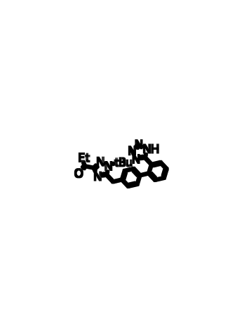 CCC(=O)c1nc(Cc2ccc(-c3ccccc3-c3nnn[nH]3)cc2)n(C(C)(C)C)n1